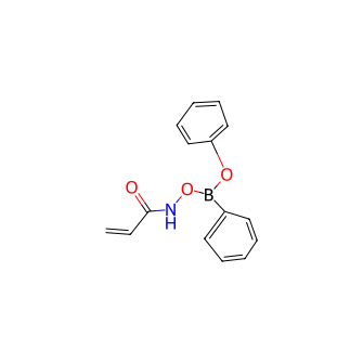 C=CC(=O)NOB(Oc1ccccc1)c1ccccc1